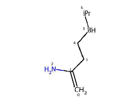 C=C(N)CCBC(C)C